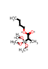 CCCCOC(=O)C(C)[Si](OC)(OC)OC